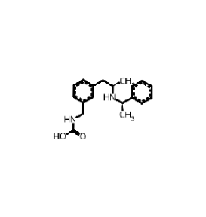 C[C@H](Cc1cccc(CNC(=O)O)c1)N[C@H](C)c1ccccc1